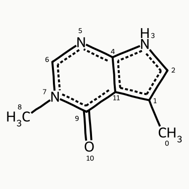 Cc1c[nH]c2ncn(C)c(=O)c12